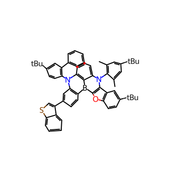 Cc1cc(C(C)(C)C)cc(C)c1N1c2cccc3c2B(c2ccc(-c4csc5ccccc45)cc2N3c2ccc(C(C)(C)C)cc2-c2ccccc2)c2oc3ccc(C(C)(C)C)cc3c21